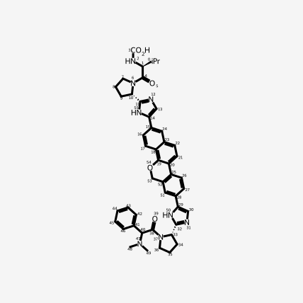 CC(C)[C@H](NC(=O)O)C(=O)N1CCC[C@H]1c1ncc(-c2ccc3c4c(ccc3c2)-c2ccc(-c3cnc([C@@H]5CCCN5C(=O)C(c5ccccc5)N(C)C)[nH]3)cc2CO4)[nH]1